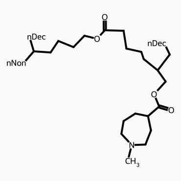 CCCCCCCCCCCC(CCCCC(=O)OCCCCC(CCCCCCCCC)CCCCCCCCCC)COC(=O)C1CCCN(C)CC1